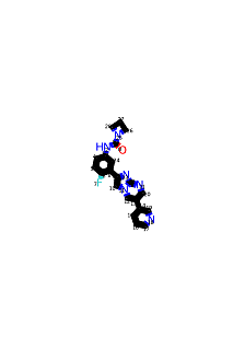 O=C(Nc1ccc(F)c(-c2cn3cc(-c4cccnc4)cnc3n2)c1)N1CCC1